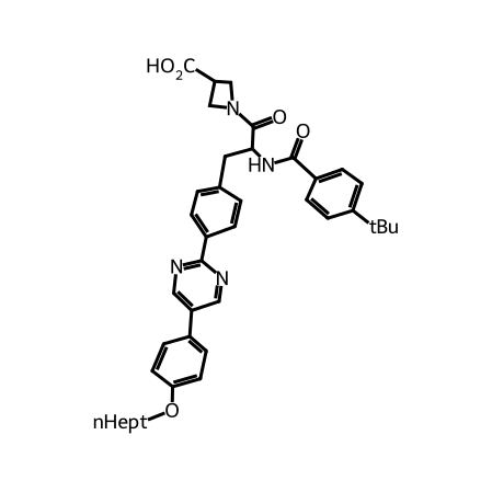 CCCCCCCOc1ccc(-c2cnc(-c3ccc(CC(NC(=O)c4ccc(C(C)(C)C)cc4)C(=O)N4CC(C(=O)O)C4)cc3)nc2)cc1